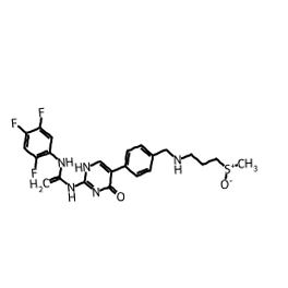 C=C(Nc1nc(=O)c(-c2ccc(CNCCC[S+](C)[O-])cc2)c[nH]1)Nc1cc(F)c(F)cc1F